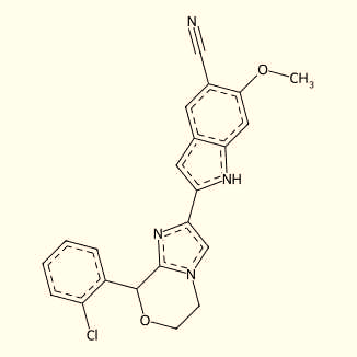 COc1cc2[nH]c(-c3cn4c(n3)C(c3ccccc3Cl)OCC4)cc2cc1C#N